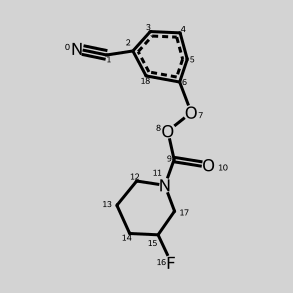 N#Cc1cccc(OOC(=O)N2CCCC(F)C2)c1